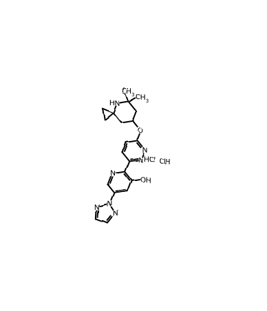 CC1(C)CC(Oc2ccc(-c3ncc(-n4nccn4)cc3O)nn2)CC2(CC2)N1.Cl.Cl